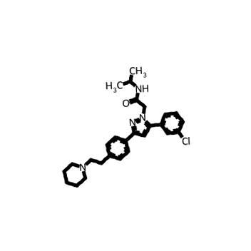 CC(C)NC(=O)Cn1nc(-c2ccc(CCN3CCCCC3)cc2)cc1-c1cccc(Cl)c1